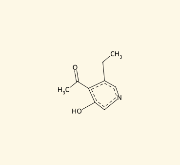 CCc1cncc(O)c1C(C)=O